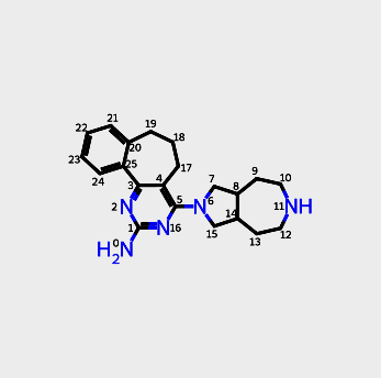 Nc1nc2c(c(N3CC4CCNCCC4C3)n1)CCCc1ccccc1-2